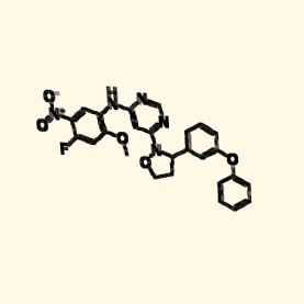 COc1cc(F)c([N+](=O)[O-])cc1Nc1cc(N2OCCC2c2cccc(Oc3ccccc3)c2)ncn1